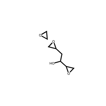 C1CO1.OC(CC1CO1)C1CO1